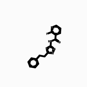 O=C(Nc1nnc(CCc2ccccc2)s1)c1cccnc1F